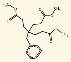 COC(=O)CCC(CCC(=O)OC)(CCC(=O)OC)Cc1ccccc1